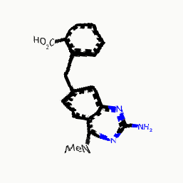 CNc1nc(N)nc2cc(Cc3ccccc3C(=O)O)ccc12